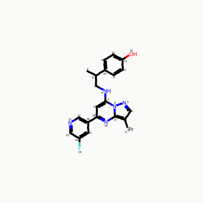 CC(C)c1cnn2c(NCC(C)c3ccc(O)cc3)cc(-c3cncc(F)c3)nc12